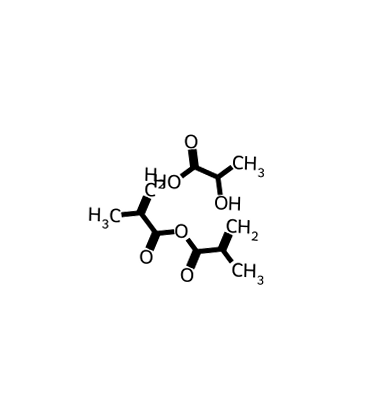 C=C(C)C(=O)OC(=O)C(=C)C.CC(O)C(=O)O